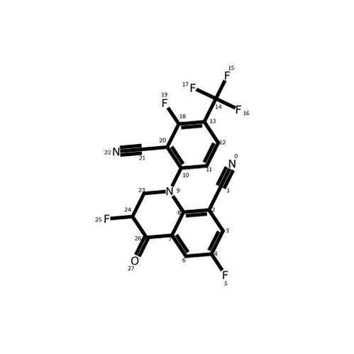 N#Cc1cc(F)cc2c1N(c1ccc(C(F)(F)F)c(F)c1C#N)CC(F)C2=O